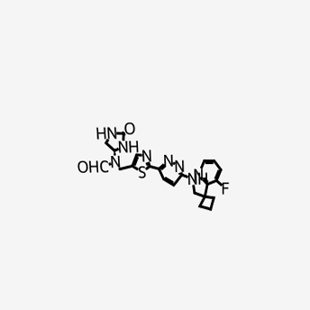 O=CN(Cc1cnc(-c2ccc(NCC3(c4ncccc4F)CCC3)nn2)s1)[C@H]1CNC(=O)N1